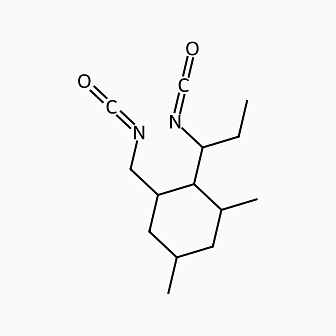 CCC(N=C=O)C1C(C)CC(C)CC1CN=C=O